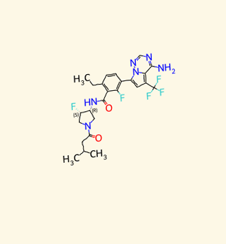 CCc1ccc(-c2cc(C(F)(F)F)c3c(N)ncnn23)c(F)c1C(=O)N[C@@H]1CN(C(=O)CC(C)C)C[C@@H]1F